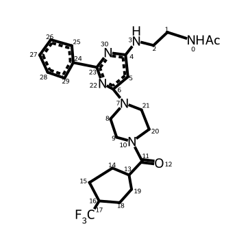 CC(=O)NCCNc1cc(N2CCN(C(=O)C3CCC(C(F)(F)F)CC3)CC2)nc(-c2ccccc2)n1